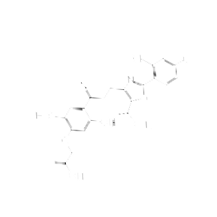 Cc1cc(C(=N)CCc2nc(-c3ccc(Cl)cc3Cl)oc2C(C)C)c(O)cc1OCC(=O)O